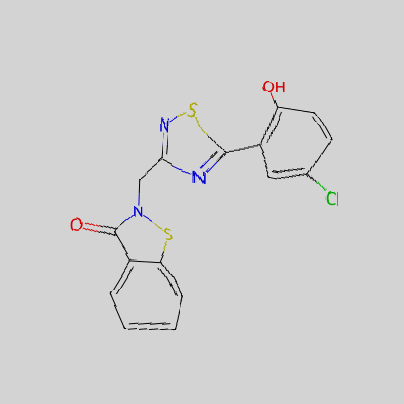 O=c1c2ccccc2sn1Cc1nsc(-c2cc(Cl)ccc2O)n1